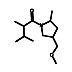 COCC1CC(C)N(C(=O)C(C)C(C)C)C1